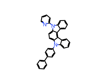 c1ccc(-c2ccc(-n3c4ccccc4c4c5c6ccccc6n(-c6ccccn6)c5ccc43)cc2)cc1